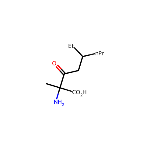 CCCC(CC)CC(=O)C(C)(N)C(=O)O